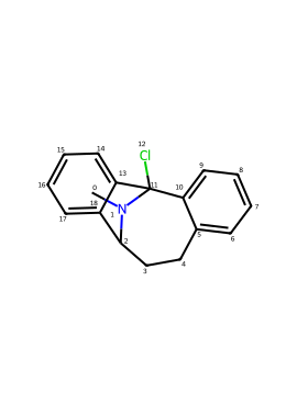 CN1C2CCc3ccccc3C1(Cl)c1ccccc12